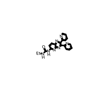 CCNC(=O)Nc1ccc2nc(-c3ccccn3)c(-c3ccccn3)nc2n1